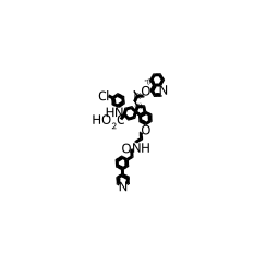 C[C@@H](COc1ccnc2c1[C@H](C)CCC2)C[C@H]1Cc2ccc(OCCCNC(=O)Cc3cccc(-c4ccncc4)c3)cc2C12CCC(Nc1cccc(Cl)c1)(C(=O)O)CC2